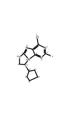 Clc1nc(I)nc2c1nc1n2[C@@H](C2CCCC2)CS1